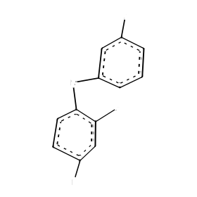 Fc1ccc(Nc2cccc(Br)c2)c(F)c1